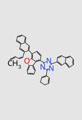 C/C=C\C=C/c1cc2ccccc2cc1-c1ccc(-c2nc(C3=CCCC=C3)nc(-c3ccc4ccccc4c3)n2)c2c1oc1ccccc12